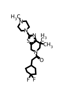 CN1CCN(c2nc3c(s2)CN(C(=O)CC2CCC(F)(F)CC2)CC3(C)C)CC1